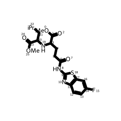 COC(=O)C(CCC(=O)Nc1nc2ccc(F)cc2s1)NC(CC(C)C)C(=O)OC